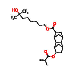 C=C(C)C(=O)OC1CC2CC1C1C3CC(CC3C(=O)OCCCCCCC(O)(C(F)(F)F)C(F)(F)F)C21